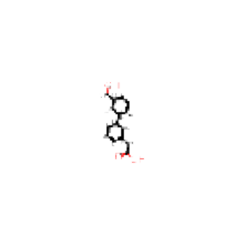 O=C(O)Cc1cccc(-c2cccc(CO)c2)c1